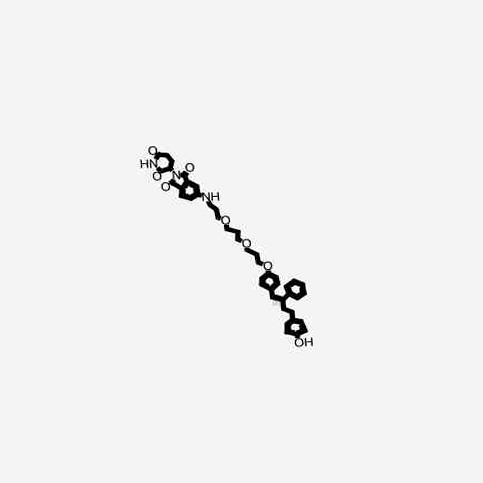 O=C1CCC(N2C(=O)c3ccc(NCCCOCCCOCCCOc4ccc(/C=C(/CCc5ccc(O)cc5)c5ccccc5)cc4)cc3C2=O)C(=O)N1